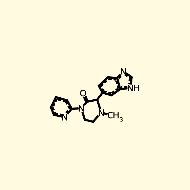 CN1CCN(c2ccccn2)C(=O)C1c1ccc2nc[nH]c2c1